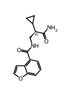 NC(=O)[C@@H](CNC(=O)c1cccc2occc12)C1CC1